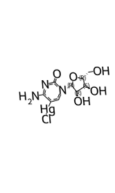 Nc1nc(=O)n([C@@H]2O[C@H](CO)[C@@H](O)[C@H]2O)c[c]1[Hg][Cl]